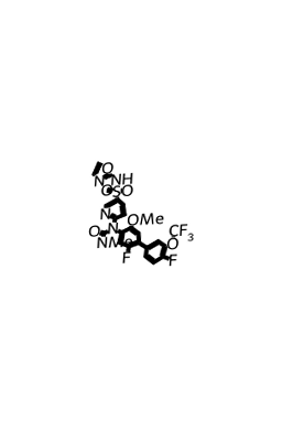 CNC(=O)N(c1ccc(S(=O)(=O)Nc2ncco2)cn1)c1cc(F)c(-c2ccc(F)c(OC(F)(F)F)c2)cc1OC